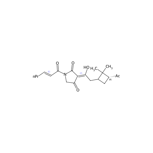 CCC/C=C/C(=O)N1CC(=O)/C(=C(/O)CC2C[C@@H](C(C)=O)C2(C)C)C1=O